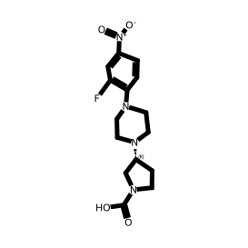 O=C(O)N1CC[C@@H](N2CCN(c3ccc([N+](=O)[O-])cc3F)CC2)C1